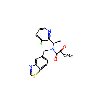 COC(=O)C(=O)N(Cc1ccc2scnc2c1)[C@H](C)c1ncccc1F